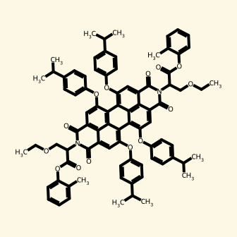 CCOCC(C(=O)Oc1ccccc1C)N1C(=O)c2cc(Oc3ccc(C(C)C)cc3)c3c4c(Oc5ccc(C(C)C)cc5)cc5c6c(cc(Oc7ccc(C(C)C)cc7)c(c7c(Oc8ccc(C(C)C)cc8)cc(c2c37)C1=O)c64)C(=O)N(C(COCC)C(=O)Oc1ccccc1C)C5=O